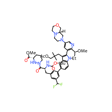 CCn1c(-c2cc(N3CCN4CCOC[C@@H]4C3)cnc2[C@H](C)OC)c(CC(C)(C)COC(C)=O)c2cc(-c3cc(C[C@H](NC(=O)OC(C)(C)C)C(=O)N4CCC[C@@H](C(=O)OC)N4)cc(C(F)F)c3)ccc21